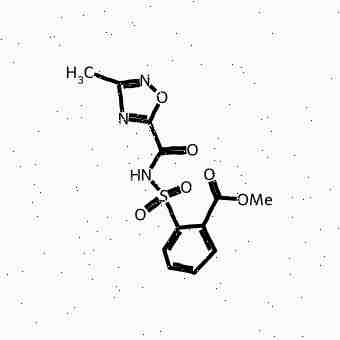 COC(=O)c1ccccc1S(=O)(=O)NC(=O)c1nc(C)no1